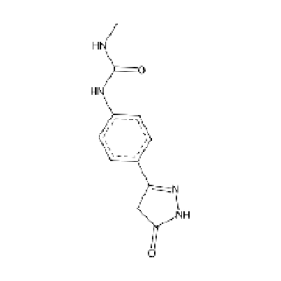 CNC(=O)Nc1ccc(C2=NNC(=O)C2)cc1